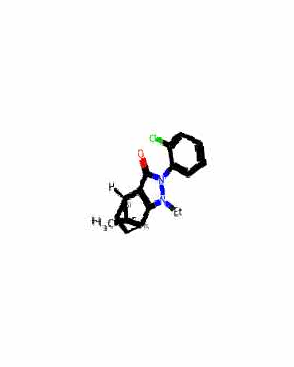 CCn1c2c(c(=O)n1-c1ccccc1Cl)[C@H]1CC[C@@]23CC13C